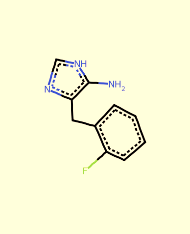 Nc1[nH]cnc1Cc1ccccc1F